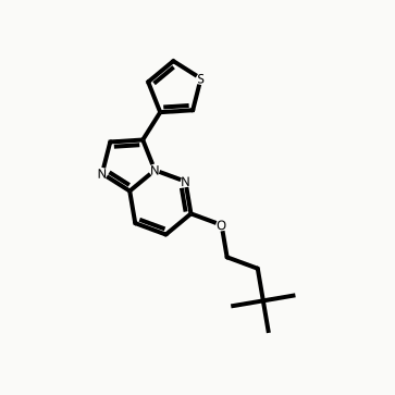 CC(C)(C)CCOc1ccc2ncc(-c3ccsc3)n2n1